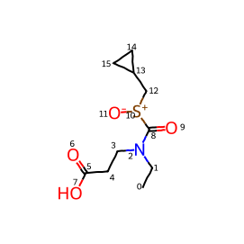 CCN(CCC(=O)O)C(=O)[S+]([O-])CC1CC1